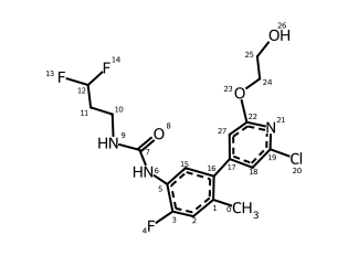 Cc1cc(F)c(NC(=O)NCCC(F)F)cc1-c1cc(Cl)nc(OCCO)c1